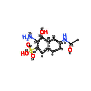 CC(=O)Nc1ccc2cc(S(=O)(=O)O)c(N)c(O)c2c1